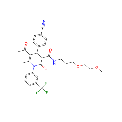 COCCOCCCNC(=O)C1C(=O)N(c2cccc(C(F)(F)F)c2)C(C)=C(C(C)=O)C1c1ccc(C#N)cc1